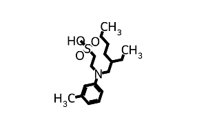 CCCCC(CC)CN(CCS(=O)(=O)O)c1cccc(C)c1